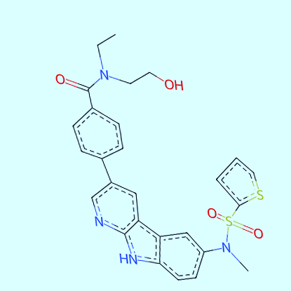 CCN(CCO)C(=O)c1ccc(-c2cnc3[nH]c4ccc(N(C)S(=O)(=O)c5cccs5)cc4c3c2)cc1